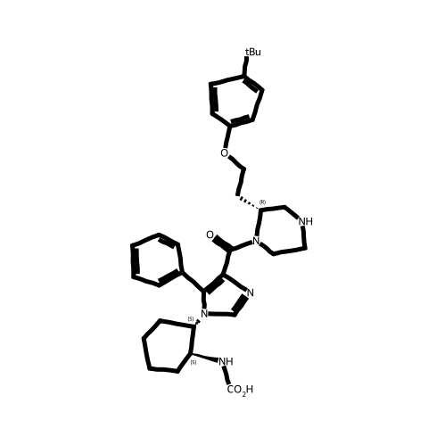 CC(C)(C)c1ccc(OCC[C@@H]2CNCCN2C(=O)c2ncn([C@H]3CCCC[C@@H]3NC(=O)O)c2-c2ccccc2)cc1